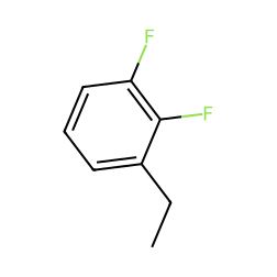 CCc1cccc(F)c1F